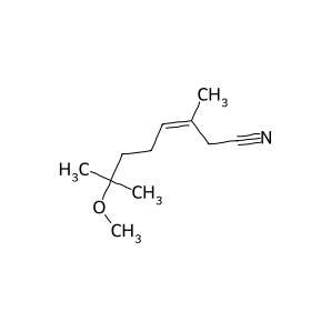 COC(C)(C)CCC=C(C)CC#N